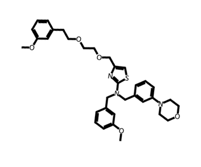 COc1cccc(CCOCCOCc2csc(N(Cc3cccc(OC)c3)Cc3cccc(N4CCOCC4)c3)n2)c1